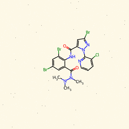 CN(C)N(C)C(=O)c1cc(Br)cc(Br)c1NC(=O)c1cc(Br)nn1-c1ncccc1Cl